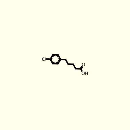 O=C(O)CCCCc1ccc(Cl)cc1